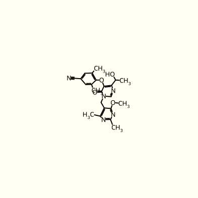 COc1nc(C)nc(C)c1Cn1cnc(C(C)O)c(Oc2c(C)cc(C#N)cc2C)c1=O